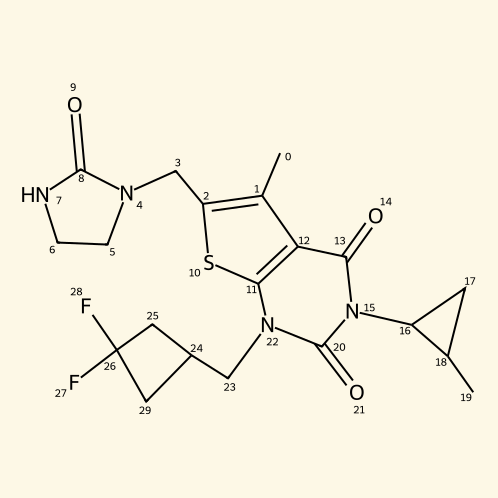 Cc1c(CN2CCNC2=O)sc2c1c(=O)n(C1CC1C)c(=O)n2CC1CC(F)(F)C1